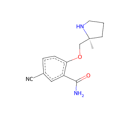 C[C@@]1(COc2ccc(C#N)cc2C(N)=O)CCCN1